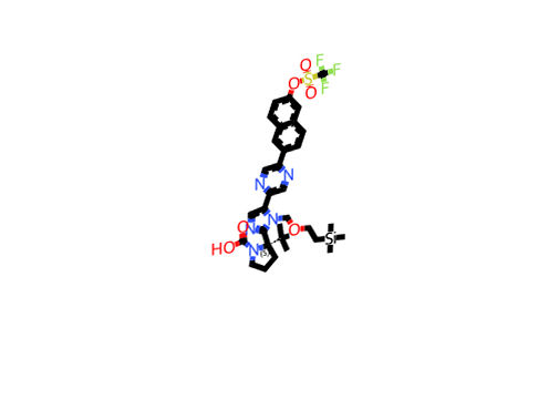 CC(C)(C)[C@]1(c2ncc(-c3cnc(-c4ccc5cc(OS(=O)(=O)C(F)(F)F)ccc5c4)cn3)n2COCC[Si](C)(C)C)CCCN1C(=O)O